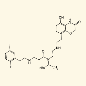 CCCCC(C)N(CCNCCc1ccc(O)c2c1OCC(=O)N2)C(=O)CCNCCc1cc(F)ccc1F